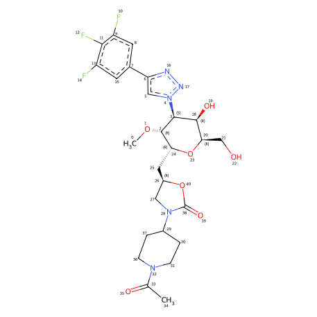 CO[C@@H]1[C@@H](n2cc(-c3cc(F)c(F)c(F)c3)nn2)[C@@H](O)[C@@H](CO)O[C@@H]1C[C@@H]1CN(C2CCN(C(C)=O)CC2)C(=O)O1